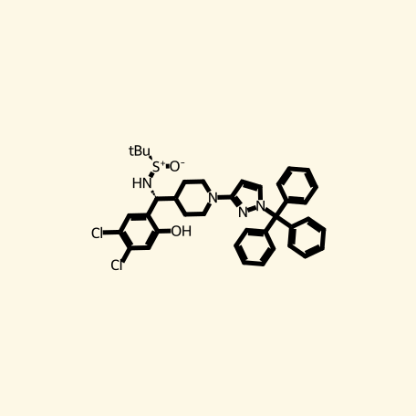 CC(C)(C)[S@+]([O-])N[C@@H](c1cc(Cl)c(Cl)cc1O)C1CCN(c2ccn(C(c3ccccc3)(c3ccccc3)c3ccccc3)n2)CC1